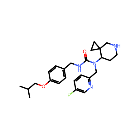 CC(C)COc1ccc(CNC(=O)N(Cc2ccc(F)cn2)C2CCNCC23CC3)cc1